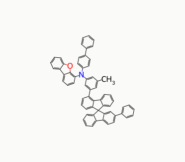 Cc1cc(-c2cccc3c2-c2ccccc2C32c3ccccc3-c3ccc(-c4ccccc4)cc32)cc(N(c2ccc(-c3ccccc3)cc2)c2cccc3c2oc2ccccc23)c1